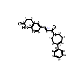 O=C1CCc2cc(/C=C/C(=O)N3CCC=C(c4ccccc4)CC3)cnc2N1